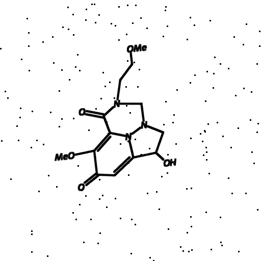 COCCN1CN2CC(O)c3cc(=O)c(OC)c(n32)C1=O